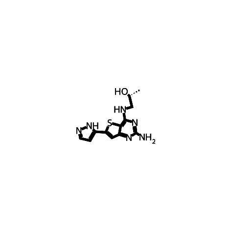 C[C@@H](O)CNc1nc(N)nc2cc(-c3ccn[nH]3)sc12